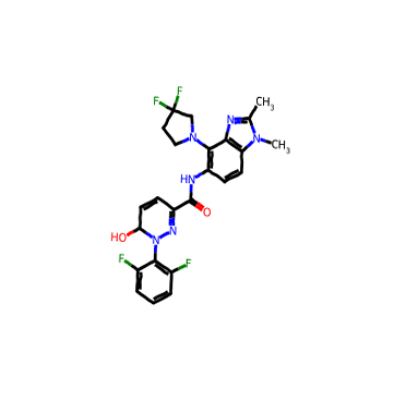 Cc1nc2c(N3CCC(F)(F)C3)c(NC(=O)C3=NN(c4c(F)cccc4F)C(O)C=C3)ccc2n1C